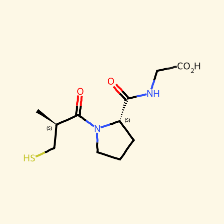 C[C@H](CS)C(=O)N1CCC[C@H]1C(=O)NCC(=O)O